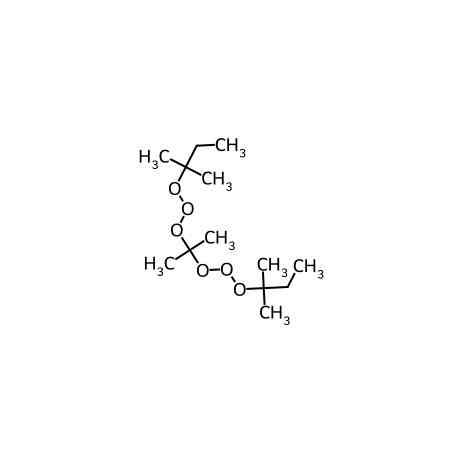 CCC(C)(C)OOOC(C)(C)OOOC(C)(C)CC